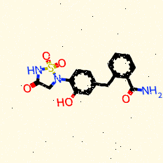 NC(=O)c1ccccc1Cc1ccc(N2CC(=O)NS2(=O)=O)c(O)c1